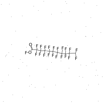 O=C(OF)C(F)(F)C(F)(F)C(F)(F)C(F)(F)C(F)(F)C(F)(F)C(F)(F)C(F)(F)C(F)(F)C(F)F